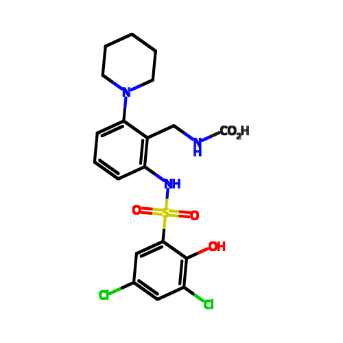 O=C(O)NCc1c(NS(=O)(=O)c2cc(Cl)cc(Cl)c2O)cccc1N1CCCCC1